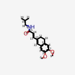 COc1cc2c(cc1OC)CCC(C=CC(=O)NCC(C)C)=C2